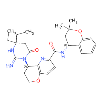 CCC1(CC)CC(=O)N([C@@H]2CCOc3ccc(C(=O)N[C@@H]4CC(C)(C)Oc5ccccc54)nc32)C(=N)N1